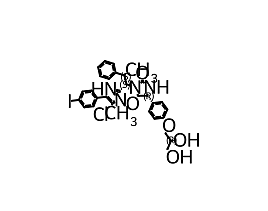 Cc1nc([C@H]([C@@H](C)c2ccccc2)N2C(=O)N[C@H](c3ccc(OC[C@H](O)CO)cc3)C2=O)[nH]c1-c1ccc(I)cc1Cl